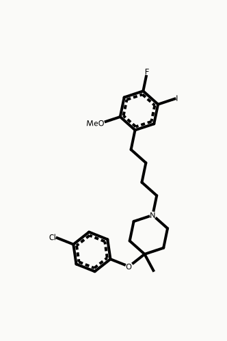 COc1cc(F)c(I)cc1CCCCN1CCC(C)(Oc2ccc(Cl)cc2)CC1